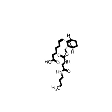 CCCCNC(=O)CNC(=O)OC[C@@H]1[C@H](/C=C\CCCCC(=O)O)[C@@H]2CC[C@H]1O2